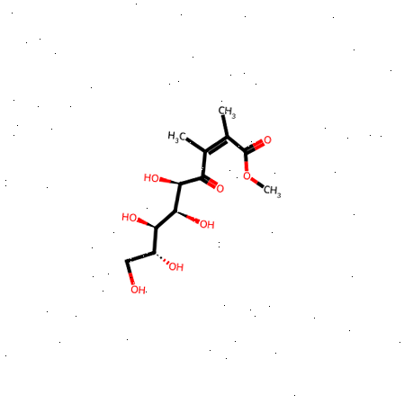 COC(=O)C(C)=C(C)C(=O)[C@H](O)[C@@H](O)[C@H](O)[C@H](O)CO